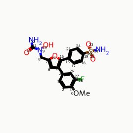 COc1ccc(-c2cc(CN(O)C(N)=O)oc2-c2ccc(S(N)(=O)=O)cc2)cc1F